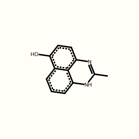 CC1=Nc2ccc(O)c3cccc(c23)N1